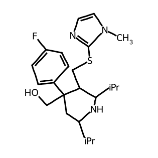 CC(C)C1CC(CO)(c2ccc(F)cc2)C(CSc2nccn2C)C(C(C)C)N1